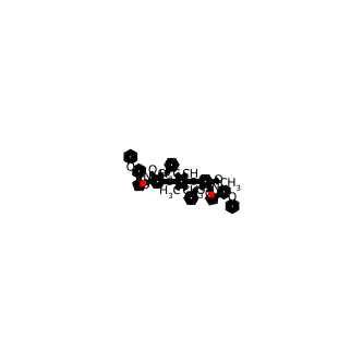 Cc1cc(Oc2ccccc2)cc(C2=CCC=C2)c1N1C(=O)c2ccc(C#Cc3c(C)c(C)c(C#Cc4ccc5c(c4OCc4ccccc4)C(=O)N(c4ccc(Oc6ccccc6)cc4C4C=CC=C4)C5=O)c(C)c3C)c(OCc3ccccc3)c2C1=O